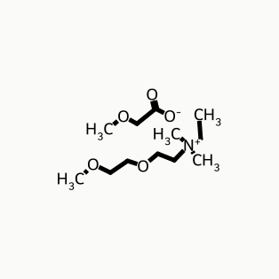 CC[N+](C)(C)CCOCCOC.COCC(=O)[O-]